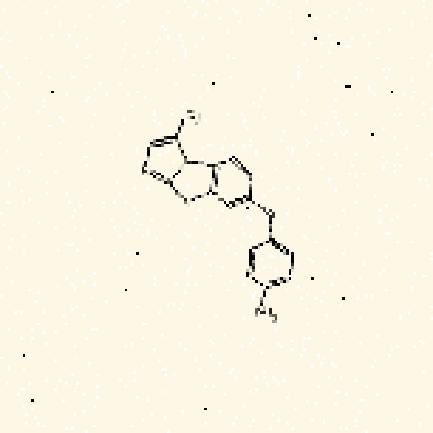 Nc1ccc(Oc2ccc3c(c2)sc2ncc(C(=O)O)n23)cc1